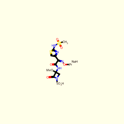 COC1(NC(=O)C(=NOC(C)C)c2csc(NS(C)(=O)=O)n2)CN(S(=O)(=O)O)C1=O.[NaH]